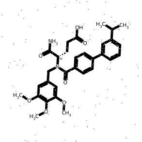 COc1cc(CN(C(=O)c2ccc(-c3cccc(C(C)C)c3)cc2)[C@@H](CCC(=O)O)C(N)=O)cc(OC)c1OC